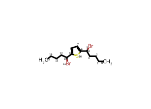 CCCCC(Br)c1ccc(C(Br)CCCC)s1